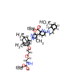 Cc1c(-c2ccc(N3CCc4cccc(C(=O)O)c4C3)nc2C(=O)OC(C)(C)C)cnn1CC12CC3(C)CC(C)(C1)CC(OCCOCCNC(=O)OC(C)(C)C)(C3)C2